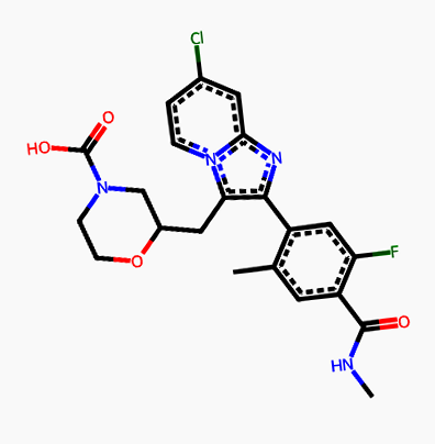 CNC(=O)c1cc(C)c(-c2nc3cc(Cl)ccn3c2CC2CN(C(=O)O)CCO2)cc1F